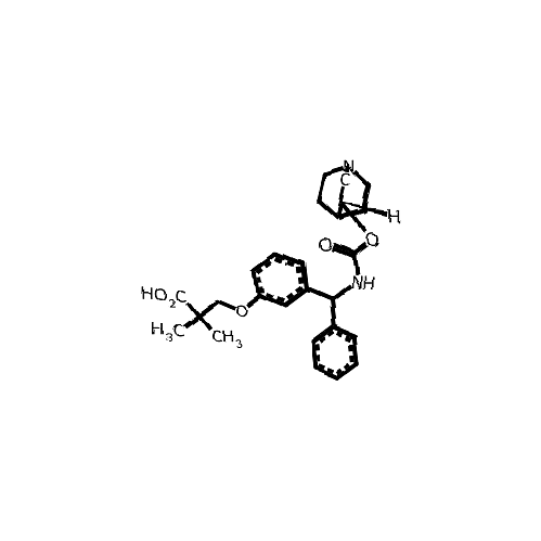 CC(C)(COc1cccc(C(NC(=O)O[C@H]2CN3CCC2CC3)c2ccccc2)c1)C(=O)O